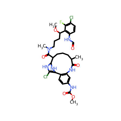 COC(=O)Nc1ccc2c(c1)NC(=O)C(C)CCCC(C(=O)N(C)CCCC(OC)c1c(NC=O)ccc(Cl)c1F)C1NC(Cl)=C2N1